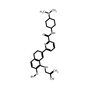 C=C(C#N)CNc1c(OC(C)C)ccc2c1C=C(c1cccc(C(=O)NC3CCC(N(C)C)CC3)n1)CC2